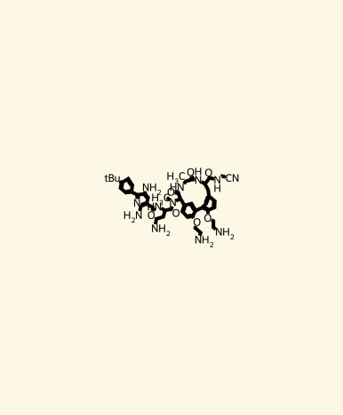 CC1NC(=O)C(N(C)C(=O)C(CCN)NC(=O)c2cc(N)c(-c3ccc(C(C)(C)C)cc3)nc2N)c2ccc(OCCN)c(c2)-c2cc(ccc2OCCN)CC(C(=O)NCC#N)NC1=O